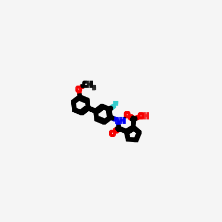 COC1=CC(c2ccc(NC(=O)C3=C(C(=O)O)CCC3)c(F)c2)=CCC1